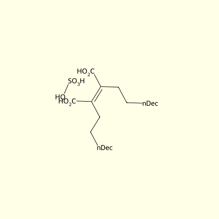 CCCCCCCCCCCCC(C(=O)O)=C(CCCCCCCCCCCC)C(=O)O.O=S(=O)(O)O